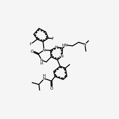 Cc1ccc(C(=O)NC(C)C)cc1-c1nc(NCCN(C)C)nc2c1CNC(=O)N2c1c(F)cccc1F